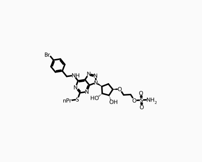 CCCSc1nc(NCc2ccc(Br)cc2)c2nnn([C@H]3C[C@@H](OCCOS(N)(=O)=O)[C@H](O)[C@@H]3O)c2n1